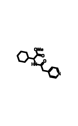 COC(=O)[C@@H](NC(=O)Cc1ccncc1)C1CCCCC1